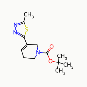 Cc1nnc(C2=CCCN(C(=O)OC(C)(C)C)C2)s1